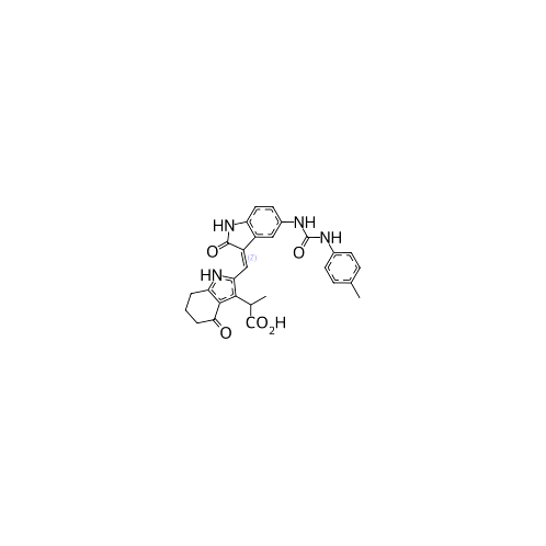 Cc1ccc(NC(=O)Nc2ccc3c(c2)/C(=C/c2[nH]c4c(c2C(C)C(=O)O)C(=O)CCC4)C(=O)N3)cc1